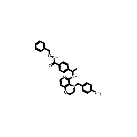 CC(Nc1nccc2c1N(Cc1ccc(C(F)(F)F)cc1)CCO2)c1ccc(C(=O)NOCc2ccccc2)cc1